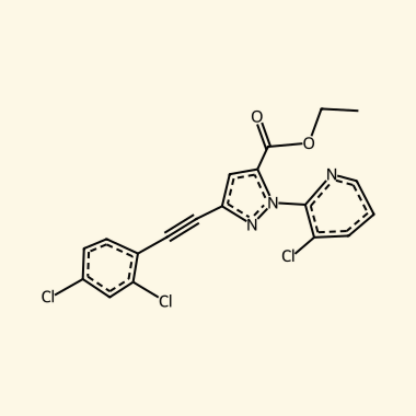 CCOC(=O)c1cc(C#Cc2ccc(Cl)cc2Cl)nn1-c1ncccc1Cl